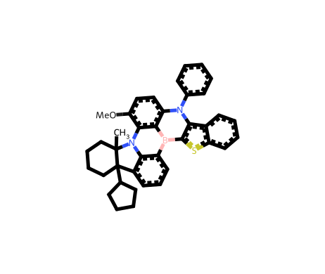 COc1ccc2c3c1N1c4c(cccc4C4(C5CCCC5)CCCCC14C)B3c1sc3ccccc3c1N2c1ccccc1